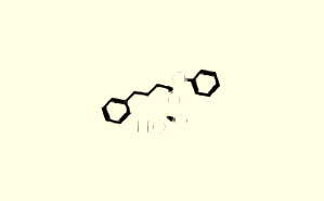 O=C(CCCc1ccccc1)Oc1ccccc1.O=CO